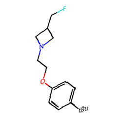 CC(C)(C)c1ccc(OCCN2CC(CF)C2)cc1